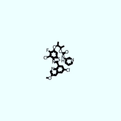 COc1cnc2c(-c3nc4c(Cl)c(F)c(OC(C)C(C)OC(=O)Nc5cccnc5)cc4s3)cc(Cl)cc2c1